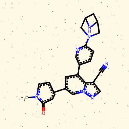 Cn1ccc(-c2cc(-c3ccc(N4CC5CC(C4)N5)nc3)c3c(C#N)cnn3c2)cc1=O